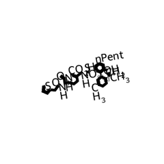 C=C(C)[C@@H]1CCC(C)=C[C@H]1c1c(O)cc(CCCCC)cc1OC(=S)NCC1=C(C(=O)O)N2C(=O)[C@@H](NC(=O)Cc3cccs3)[C@H]2CC1